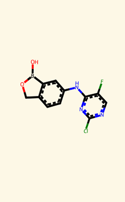 OB1OCc2ccc(Nc3nc(Cl)ncc3F)cc21